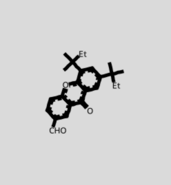 CCC(C)(C)c1cc(C(C)(C)CC)c2oc3ccc(C=O)cc3c(=O)c2c1